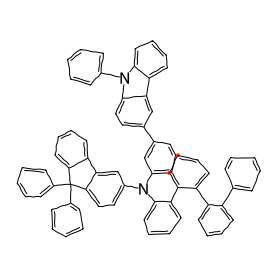 c1ccc(-c2ccccc2-c2ccccc2-c2ccccc2N(c2cccc(-c3ccc4c(c3)c3ccccc3n4-c3ccccc3)c2)c2ccc3c(c2)-c2ccccc2C3(c2ccccc2)c2ccccc2)cc1